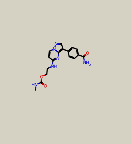 CNC(=O)OCCNc1ccn2ncc(-c3ccc(C(N)=O)cc3)c2n1